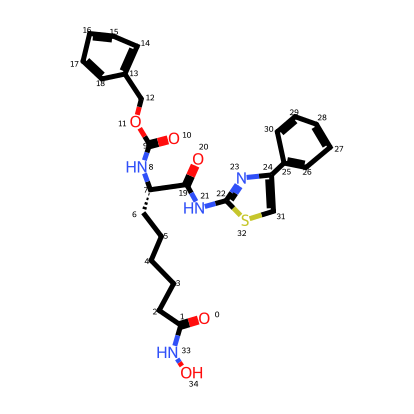 O=C(CCCCC[C@H](NC(=O)OCc1ccccc1)C(=O)Nc1nc(-c2ccccc2)cs1)NO